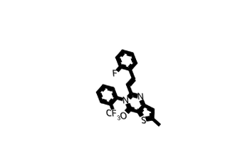 Cc1cc2nc(C=Cc3ccccc3F)n(-c3ccccc3C(F)(F)F)c(=O)c2s1